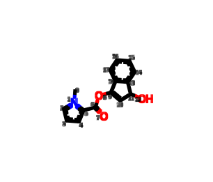 Cn1cccc1C(=O)OC1=CC(O)c2ccccc21